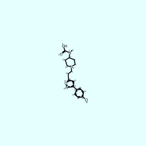 CN(C(=O)O)C1CCN(CCc2cc(-c3ccc(Cl)cc3)no2)CC1